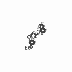 CCOc1ccc(N2CC(COc3cccc4cccnc34)OCC2=O)cc1